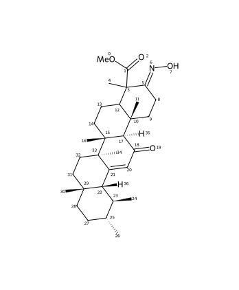 COC(=O)C1(C)C(=NO)CC[C@@]2(C)C1CC[C@]1(C)[C@@H]2C(=O)C=C2[C@@H]3[C@@H](C)[C@H](C)CC[C@]3(C)CC[C@]21C